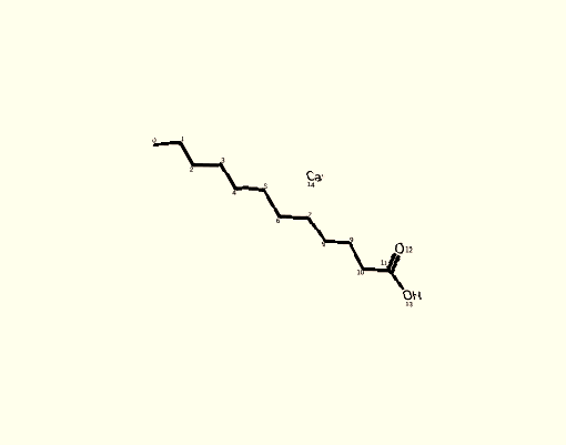 CCCCCCCCCCCC(=O)O.[Ca]